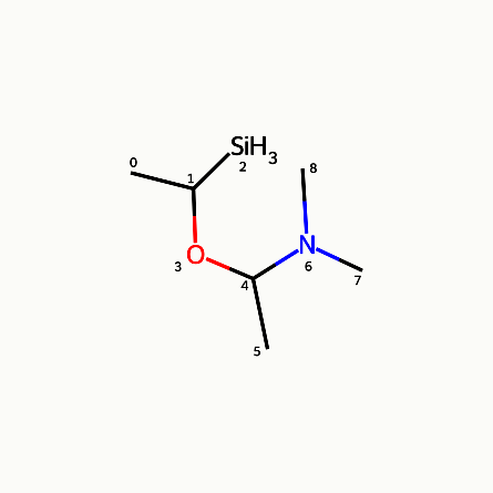 CC([SiH3])OC(C)N(C)C